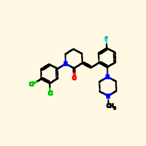 CN1CCN(c2ccc(F)cc2C=C2CCCN(c3ccc(Cl)c(Cl)c3)C2=O)CC1